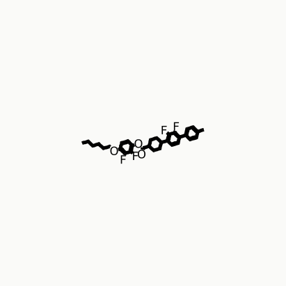 CCCCCCOc1ccc(OC(=O)C2CCC(c3ccc(-c4ccc(C)cc4)c(F)c3F)CC2)c(F)c1F